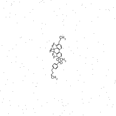 C=CCCc1ccc(C(=O)OC2(C)C=CC3=C(C2F)C(F)(F)C(F)(F)c2c3ccc(CCC)c2F)cc1